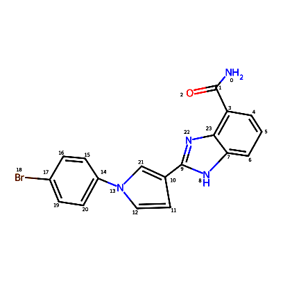 NC(=O)c1cccc2[nH]c(-c3ccn(-c4ccc(Br)cc4)c3)nc12